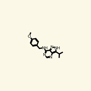 COc1ccc(CNc2ncnc3c(C(C)C)[nH]nc23)cc1